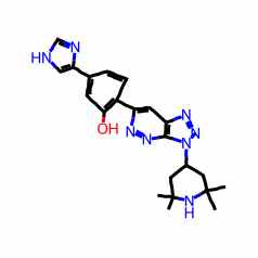 CC1(C)CC(n2nnc3cc(-c4ccc(-c5c[nH]cn5)cc4O)nnc32)CC(C)(C)N1